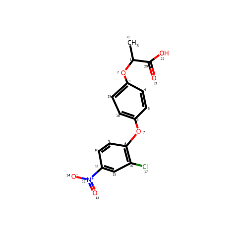 CC(Oc1ccc(Oc2ccc([N+](=O)[O-])cc2Cl)cc1)C(=O)O